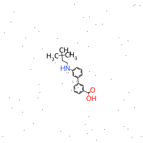 CC(C)(C)CCNc1cccc(-c2cccc(C(=O)O)c2)c1